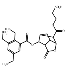 BCc1cc(CB)c(CB)c(C(=O)OC2C3CC4C(OC(=O)C42)C3C(=O)OCCS(=O)(=O)O)c1